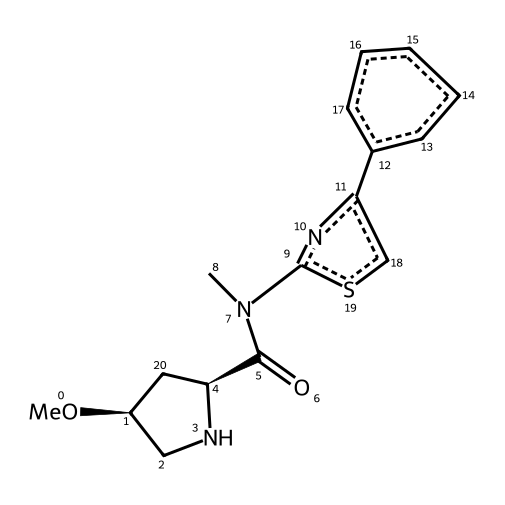 CO[C@@H]1CN[C@H](C(=O)N(C)c2nc(-c3ccccc3)cs2)C1